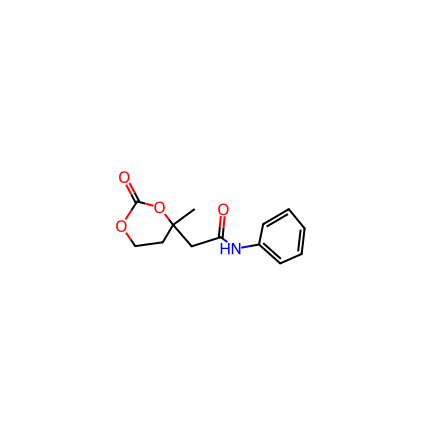 CC1(CC(=O)Nc2ccccc2)CCOC(=O)O1